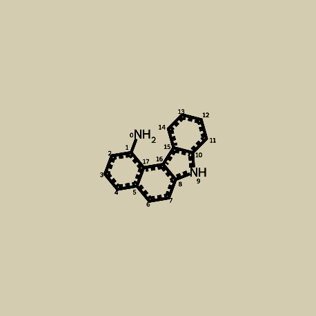 Nc1cccc2ccc3[nH]c4ccccc4c3c12